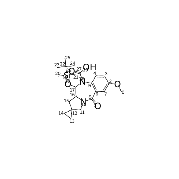 COc1ccc2c(c1)C(=O)N1CC3(CC3)CC1C(O[Si](C)(C)C(C)(C)C)N2C(=O)O